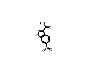 O=C(O)c1n[nH]c2cc([N+](=O)[O-])ccc12